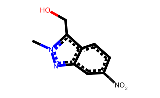 Cn1nc2cc([N+](=O)[O-])ccc2c1CO